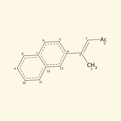 CC(=O)C=C(C)c1ccc2ccccc2c1